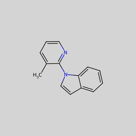 Cc1cccnc1-n1ccc2ccccc21